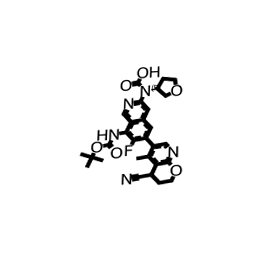 Cc1c(-c2cc3cc(N(C(=O)O)[C@@H]4CCOC4)ncc3c(NC(=O)OC(C)(C)C)c2F)cnc2c1C(C#N)CCO2